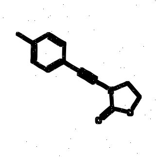 Cc1ccc(C#CN2CCOC2=O)cc1